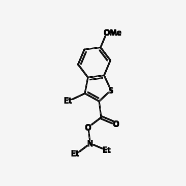 CCc1c(C(=O)ON(CC)CC)sc2cc(OC)ccc12